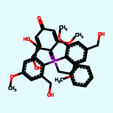 COC1=CC(=O)C=C(CO)C1=P(Cc1ccccc1)(c1c(CO)cc(OC)cc1CO)c1c(OC)cc(CO)cc1OC